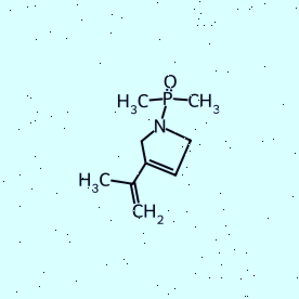 C=C(C)C1=CCN(P(C)(C)=O)C1